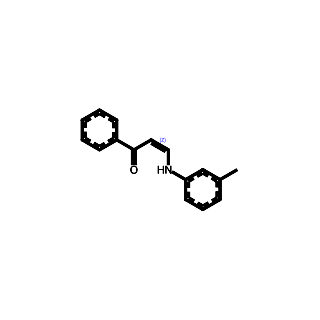 Cc1cccc(N/C=C\C(=O)c2ccccc2)c1